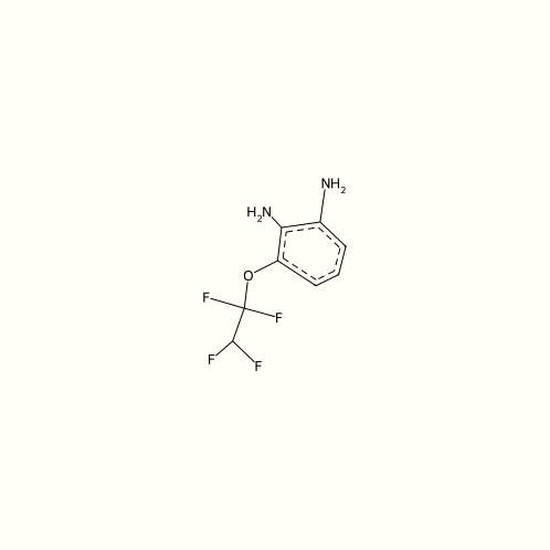 Nc1cccc(OC(F)(F)C(F)F)c1N